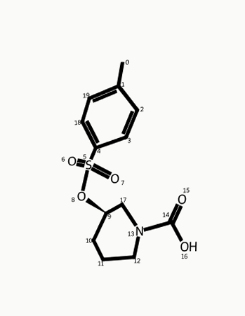 Cc1ccc(S(=O)(=O)O[C@@H]2CCCN(C(=O)O)C2)cc1